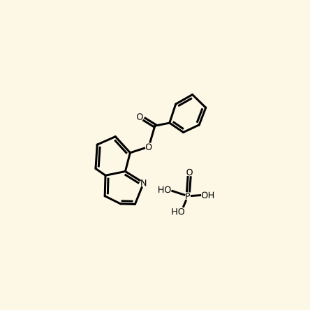 O=C(Oc1cccc2cccnc12)c1ccccc1.O=P(O)(O)O